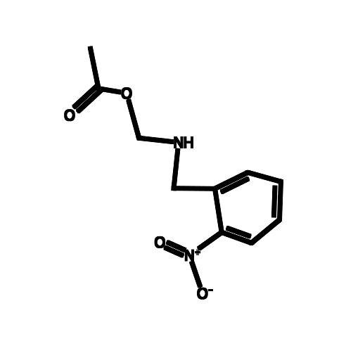 CC(=O)OCNCc1ccccc1[N+](=O)[O-]